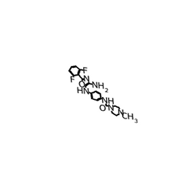 CN1CCN(C(=O)Nc2ccc(Nc3oc(-c4c(F)cccc4F)nc3N)cc2)CC1